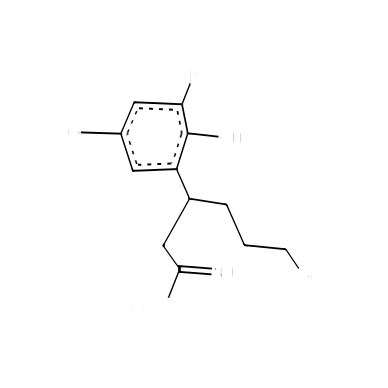 N=C(CC(CCCO)c1cc(Cl)cc(Br)c1O)C(=O)O